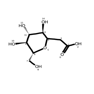 O=C(O)CC1O[C@H](CO)[C@@H](O)[C@H](O)[C@H]1O